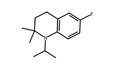 CC(C)N1c2ccc(F)cc2CCC1(C)C